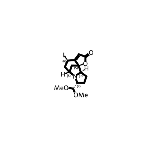 COC(OC)[C@H]1CC[C@H]2N1[C@@H]1C[C@@H](I)C3=CC(=O)O[C@@]32C1